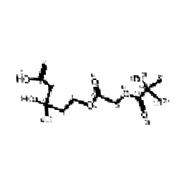 C=C(O)CC(O)(CC)CCOC(=O)COC(=O)C(C)(C(C)C)C(C)(C)C